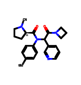 CC(C)(C)c1ccc(N(C(=O)[C@H]2CCCN2C#N)C(C(=O)N2CCC2)c2cccnc2)cc1